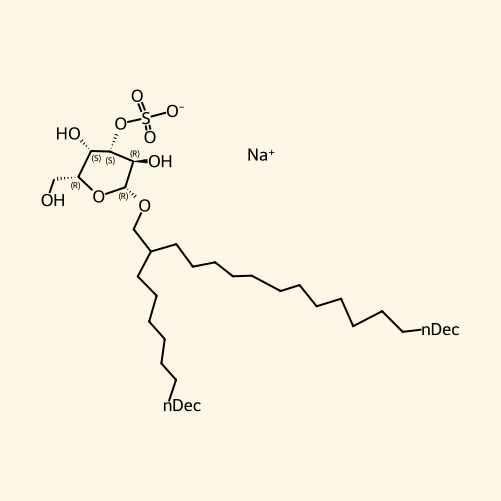 CCCCCCCCCCCCCCCCCCCCCCC(CCCCCCCCCCCCCCCC)CO[C@@H]1O[C@H](CO)[C@H](O)[C@H](OS(=O)(=O)[O-])[C@H]1O.[Na+]